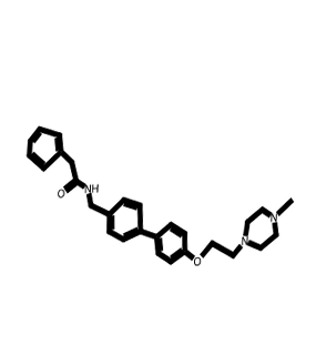 CN1CCN(CCOc2ccc(-c3ccc(CNC(=O)Cc4ccccc4)cc3)cc2)CC1